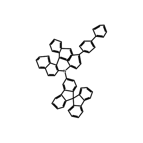 c1ccc(-c2ccc(-c3ccc(N(c4ccc5c(c4)-c4ccccc4C54c5ccccc5-c5ccccc54)c4ccc5ccccc5c4-c4cccc5ccccc45)cc3)cc2)cc1